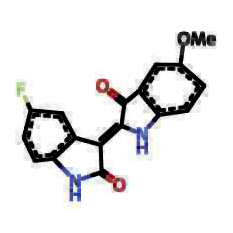 COc1ccc2c(c1)C(=O)/C(=C1/C(=O)Nc3ccc(F)cc31)N2